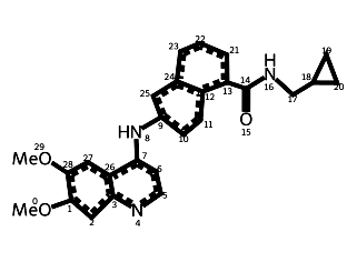 COc1cc2nccc(Nc3ccc4c(C(=O)NCC5CC5)cccc4c3)c2cc1OC